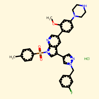 COc1cc(N2CCNCC2)ccc1-c1cnc2c(c1)c(-c1cnn(Cc3cccc(F)c3)c1)cn2S(=O)(=O)c1ccc(C)cc1.Cl